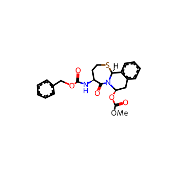 COC(=O)O[C@@H]1Cc2ccccc2[C@@H]2SCC[C@H](NC(=O)OCc3ccccc3)C(=O)N12